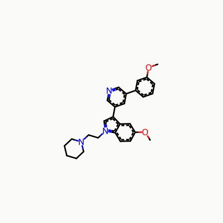 COc1cccc(-c2cncc(-c3cn(CCN4CCCCC4)c4ccc(OC)cc34)c2)c1